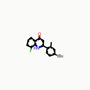 Cc1cc(C(C)(C)C)ccc1-c1cc(=O)c2cccc(F)c2[nH]1